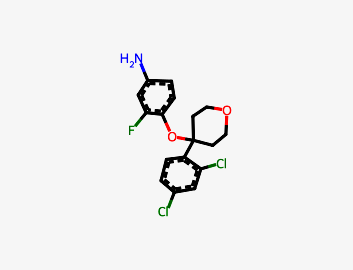 Nc1ccc(OC2(c3ccc(Cl)cc3Cl)CCOCC2)c(F)c1